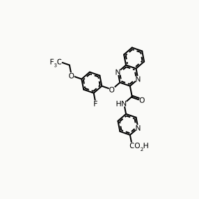 O=C(O)c1ccc(NC(=O)c2nc3ccccc3nc2Oc2ccc(OCC(F)(F)F)cc2F)cn1